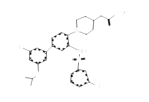 COC(=O)CC1CCN(c2ccc(-c3cc(F)cc(OC(F)F)c3)cc2NS(=O)(=O)c2cccc(C(F)(F)F)c2)CC1